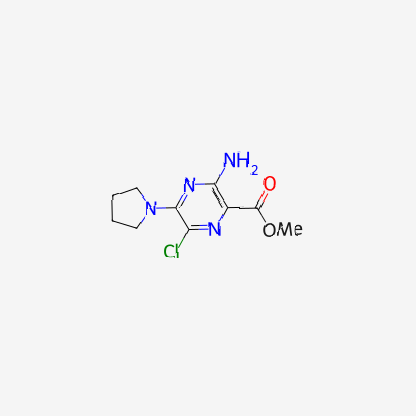 COC(=O)c1nc(Cl)c(N2CCCC2)nc1N